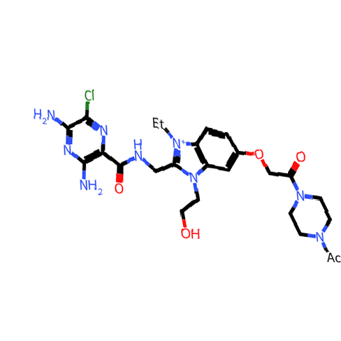 CC[n+]1c(CNC(=O)c2nc(Cl)c(N)nc2N)n(CCO)c2cc(OCC(=O)N3CCN(C(C)=O)CC3)ccc21